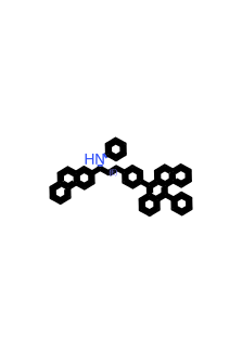 C(=C\C(Nc1ccccc1)c1ccc2c(ccc3ccccc32)c1)/c1ccc(-c2c3ccccc3c(-c3ccccc3)c3c2ccc2ccccc23)cc1